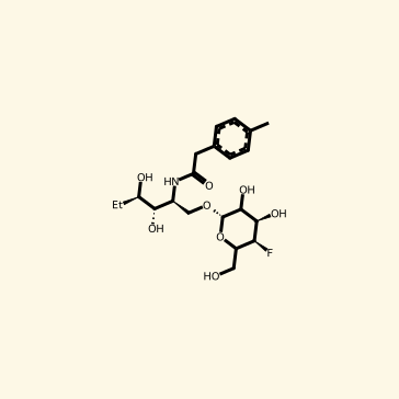 CC[C@@H](O)[C@@H](O)[C@H](CO[C@H]1OC(CO)[C@H](F)[C@H](O)C1O)NC(=O)Cc1ccc(C)cc1